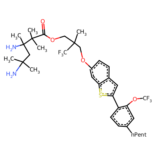 CCCCCc1ccc(-c2cc3ccc(OCC(C)(COC(=O)C(C)(C)C(C)(N)CC(C)(C)N)C(F)(F)F)cc3s2)c(OC(F)(F)F)c1